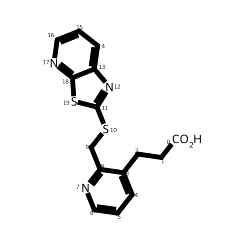 O=C(O)CCc1cccnc1CSc1nc2cccnc2s1